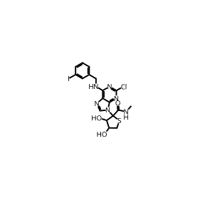 CNC(=O)C1(n2cnc3c(NCc4cccc(I)c4)nc(Cl)nc32)SCC(O)C1O